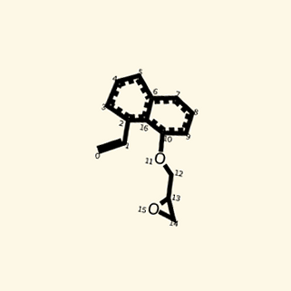 C=Cc1cccc2cccc(OCC3CO3)c12